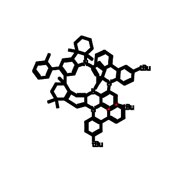 Cc1ccccc1-c1cc2c3cc1C1(C)CCC(C)(C)c4cc5c(cc41)B1c4cc(ccc4N(c4ccc(C(C)(C)C)cc4-c4ccccc4)c4cc(C(C)(C)C)cc(c41)N5c1ccc(C(C)(C)C)cc1-c1ccccc1)N3C1(C)CCCCC21C